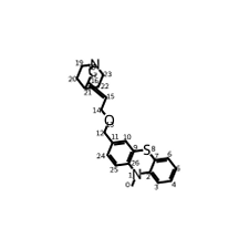 CN1c2ccccc2Sc2cc(COCC=C3CN4CCC3CC4)ccc21